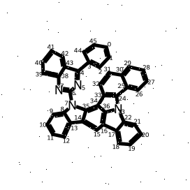 c1ccc(-c2nc(-n3c4ccccc4c4cc5c6ccccc6n6c7c8ccccc8ccc7c(c43)c56)nc3ccccc23)cc1